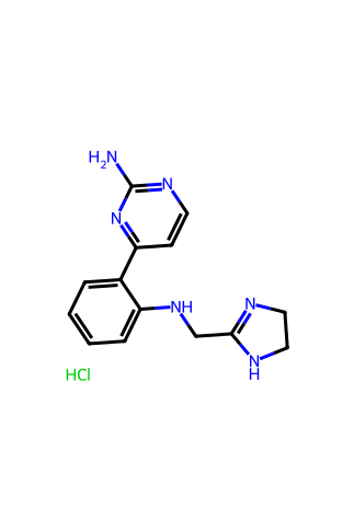 Cl.Nc1nccc(-c2ccccc2NCC2=NCCN2)n1